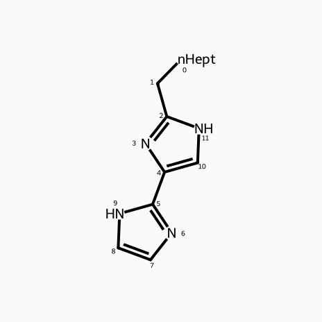 CCCCCCCCc1nc(-c2ncc[nH]2)c[nH]1